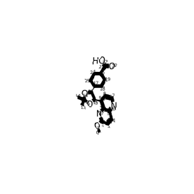 COc1ccc2nccc([C@H]3OC(C)(C)O[C@@H]3C3CCC(C(=O)O)CC3)c2n1